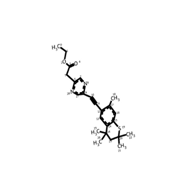 CCOC(=O)Cc1cnc(C#Cc2cc3c(cc2C)SC(C)(C)CC3(C)C)cn1